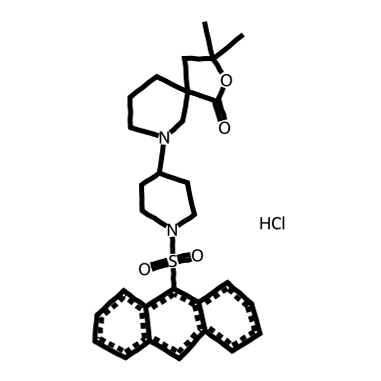 CC1(C)CC2(CCCN(C3CCN(S(=O)(=O)c4c5ccccc5cc5ccccc45)CC3)C2)C(=O)O1.Cl